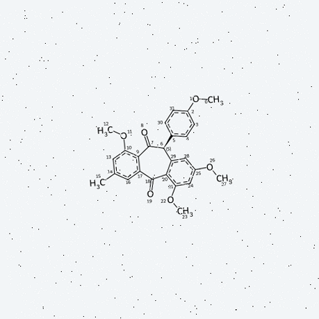 COc1ccc([C@@H]2C(=O)c3c(OC)cc(C)cc3C(=O)c3c(OC)cc(OC)cc32)cc1